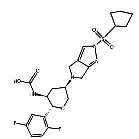 O=C(O)N[C@H]1C[C@@H](N2Cc3cn(S(=O)(=O)C4CCCC4)nc3C2)CO[C@@H]1c1cc(F)ccc1F